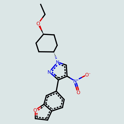 CCO[C@H]1CC[C@H](n2cc([N+](=O)[O-])c(-c3ccc4ccoc4c3)n2)CC1